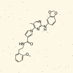 COc1ccccc1CCNC(=O)c1ccn(-c2nc(Nc3ccc4c(c3)OCO4)ncc2C)c1